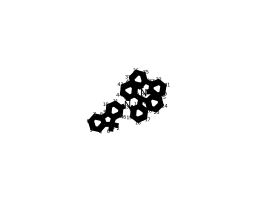 CC1(C)c2ccccc2-c2ccc(N3c4ccccc4C(c4ccccc4)(n4c5ccccc5c5ccccc54)c4ccccc43)cc21